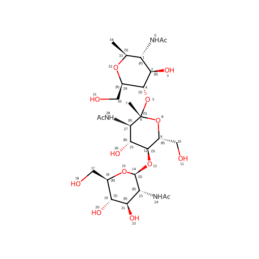 CC(=O)N[C@@H]1[C@@H](O)[C@H](O[C@]2(C)O[C@H](CO)[C@@H](O[C@@H]3O[C@H](CO)[C@@H](O)[C@H](O)[C@H]3NC(C)=O)[C@H](O)[C@H]2NC(C)=O)[C@@H](CO)O[C@H]1C